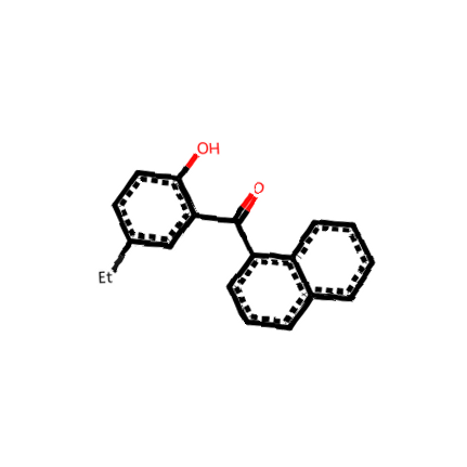 CCc1ccc(O)c(C(=O)c2cccc3ccccc23)c1